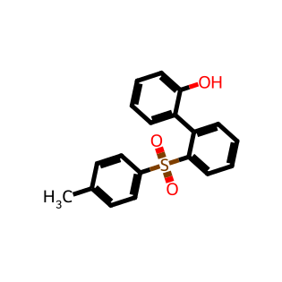 Cc1ccc(S(=O)(=O)c2ccccc2-c2ccccc2O)cc1